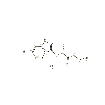 CCOC(=O)C(N)Cc1c[nH]c2cc(Br)ccc12.Cl